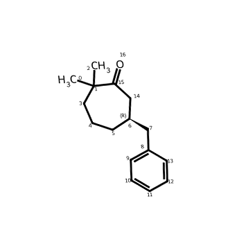 CC1(C)CCC[C@H](Cc2ccccc2)CC1=O